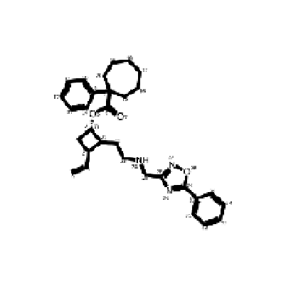 C=CC1C[C@H](OC(=O)C2(c3ccccc3)CCCCCC2)C1CCNCc1noc(-c2ccccc2)n1